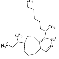 CCCCCCC(C)C1=C2CCC(C(C)CC)CCCC2C=NN1